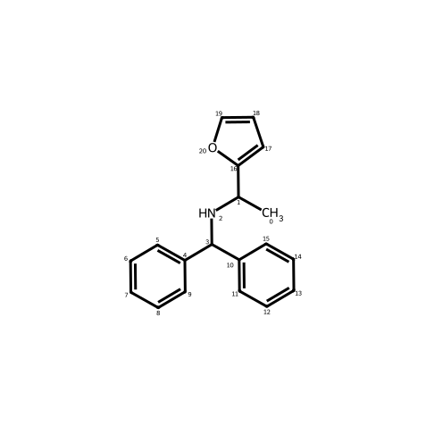 CC(NC(c1ccccc1)c1ccccc1)c1ccco1